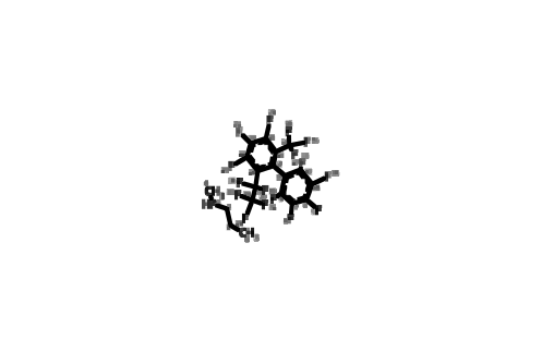 CCCPC.Fc1c(F)c(F)c(-c2c(C(F)(F)F)c(F)c(F)c(F)c2C(F)(F)C(F)(F)F)c(F)c1F